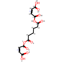 O=C(O)/C=C\C(=O)OC(=O)CCCCC(=O)OC(=O)/C=C\C(=O)O